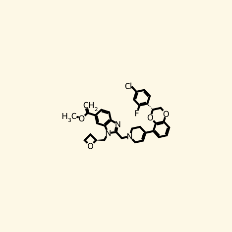 C=C(OC)c1ccc2nc(CN3CC=C(c4cccc5c4O[C@H](c4ccc(Cl)cc4F)CO5)CC3)n(C[C@@H]3CCO3)c2c1